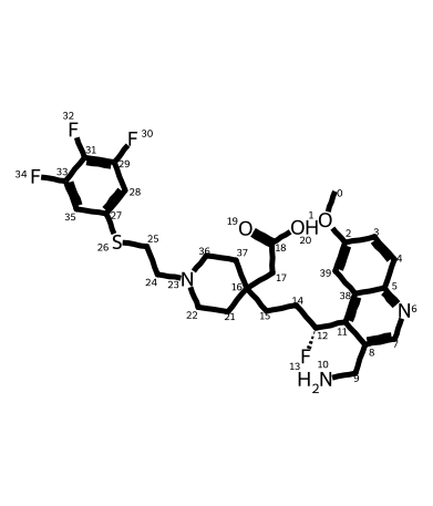 COc1ccc2ncc(CN)c([C@H](F)CCC3(CC(=O)O)CCN(CCSc4cc(F)c(F)c(F)c4)CC3)c2c1